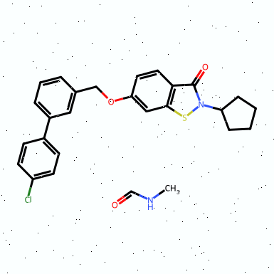 CNC=O.O=c1c2ccc(OCc3cccc(-c4ccc(Cl)cc4)c3)cc2sn1C1CCCC1